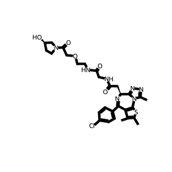 Cc1sc2c(c1C)C(c1ccc(Cl)cc1)=N[C@@H](CC(=O)NCC(=O)NCCOCC(=O)N1CC[C@@H](O)C1)c1nnc(C)n1-2